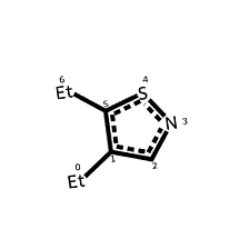 CCc1cnsc1CC